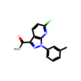 COC(=O)c1nn(-c2cccc(C)c2)c2nc(Cl)ccc12